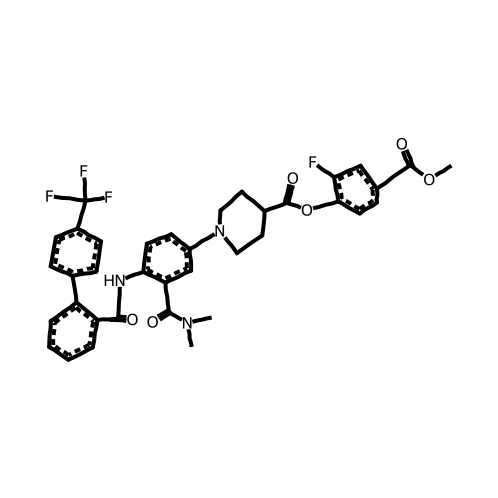 COC(=O)c1ccc(OC(=O)C2CCN(c3ccc(NC(=O)c4ccccc4-c4ccc(C(F)(F)F)cc4)c(C(=O)N(C)C)c3)CC2)c(F)c1